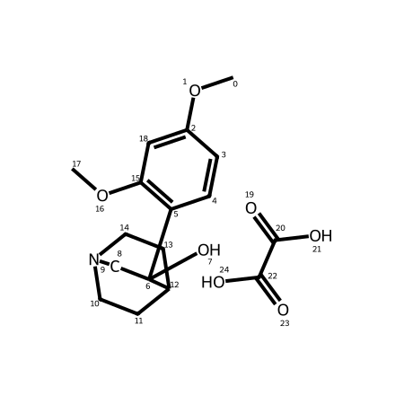 COc1ccc(C2(O)CN3CCC2CC3)c(OC)c1.O=C(O)C(=O)O